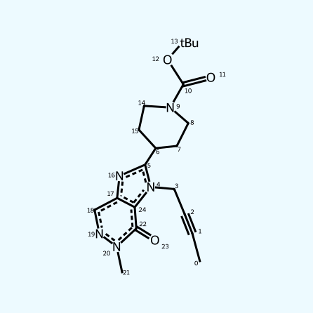 CC#CCn1c(C2CCN(C(=O)OC(C)(C)C)CC2)nc2cnn(C)c(=O)c21